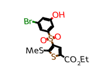 CCOC(=O)c1cc(S(=O)(=O)c2cc(O)cc(Br)c2)c(SC)s1